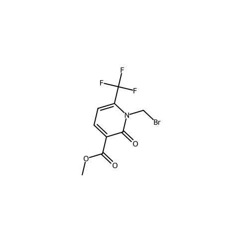 COC(=O)c1ccc(C(F)(F)F)n(CBr)c1=O